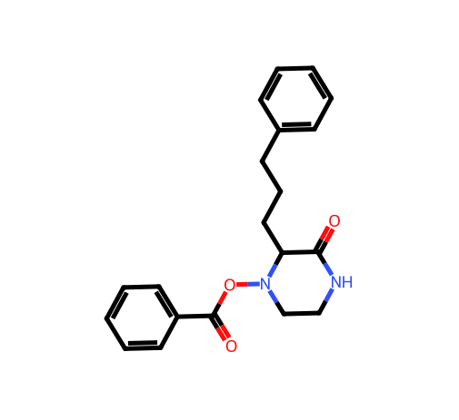 O=C(ON1CCNC(=O)C1CCCc1ccccc1)c1ccccc1